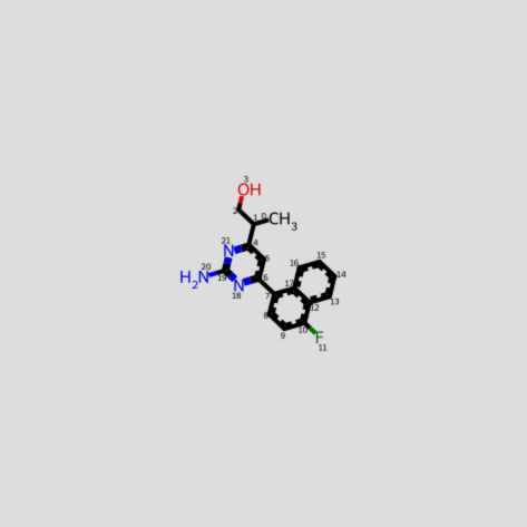 CC(CO)c1cc(-c2ccc(F)c3ccccc23)nc(N)n1